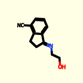 N#Cc1cccc2c1CC/C2=N\CCO